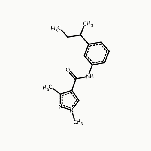 CCC(C)c1cccc(NC(=O)c2cn(C)nc2C)c1